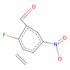 C=C.O=Cc1cc([N+](=O)[O-])ccc1F